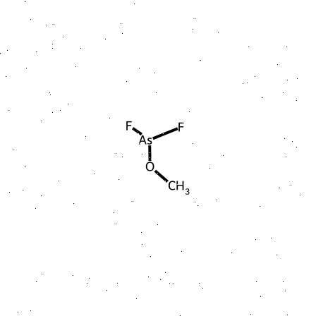 CO[As](F)F